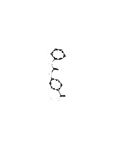 NC(=O)c1ccc(NC(=O)Oc2ccccc2)cc1